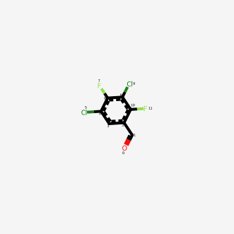 O=[C]c1cc(Cl)c(F)c(Cl)c1F